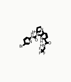 O=C(NCC(F)(F)F)C1C=CC2=C(N1)N(C(=O)Nc1ccc(Br)cn1)[C@H]1CCN2C1